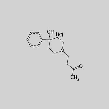 CC(=O)CCN1CCC(O)(c2ccccc2)CC1.Cl